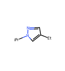 [CH2]Cc1cnn(C(C)C)c1